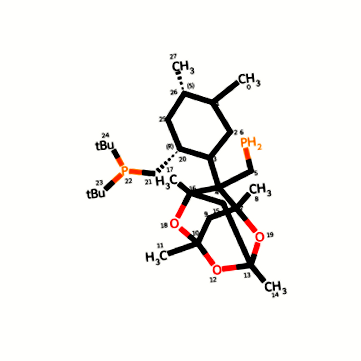 CC1CC(C2(CP)C3(C)CC4(C)OC(C)(CC2(C)O4)O3)[C@H](CP(C(C)(C)C)C(C)(C)C)C[C@@H]1C